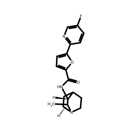 C[C@H]1[C@H](NC(=O)c2ccc(-c3ccc(F)cn3)o2)C2CCN1CC2